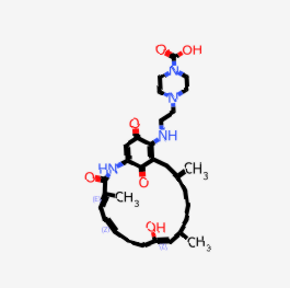 C/C1=C\C=C/CC/C(O)=C/C(C)CCCC(C)CC2=C(NCCN3CCN(C(=O)O)CC3)C(=O)C=C(NC1=O)C2=O